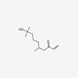 C=CC(=O)CC(C)CCCC(C)(C)O